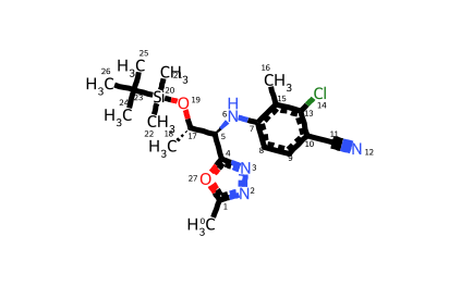 Cc1nnc([C@H](Nc2ccc(C#N)c(Cl)c2C)[C@H](C)O[Si](C)(C)C(C)(C)C)o1